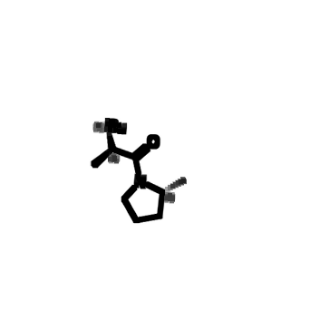 CC[C@H](C)[C@H](C)C(=O)N1CCC[C@H]1C